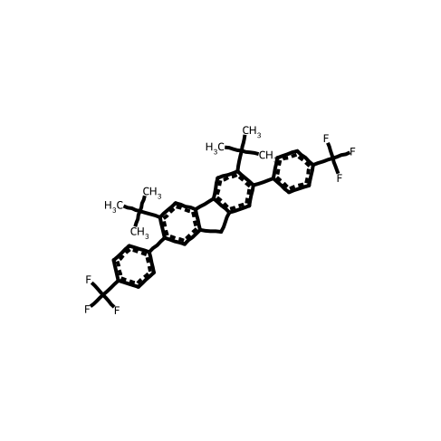 CC(C)(C)c1cc2c(cc1-c1ccc(C(F)(F)F)cc1)Cc1cc(-c3ccc(C(F)(F)F)cc3)c(C(C)(C)C)cc1-2